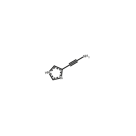 NC#Cc1c[nH]cn1